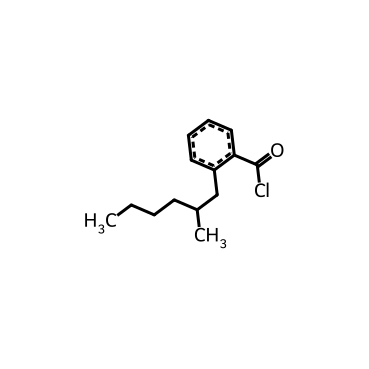 CCCCC(C)Cc1ccccc1C(=O)Cl